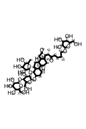 CC1O[C@@H](O[C@H]2C(O)[C@H](O[C@@H]3OC(CO)[C@@H](O)C(O)[C@@H]3O)C(CO)O[C@H]2OC2CC[C@@]3(C)C(=CC[C@H]4[C@@H]5CC(=O)[C@H]([C@H](C)C(=O)CC[C@@H](C)CO[C@@H]6OC(CO)[C@@H](O)C(O)[C@@H]6O)[C@@]5(C)CC[C@@H]43)C2)[C@@H](O)C(O)[C@H]1O